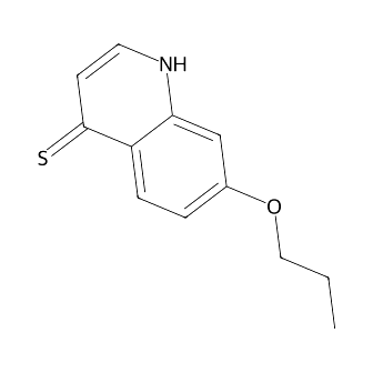 CCCOc1ccc2c(=S)cc[nH]c2c1